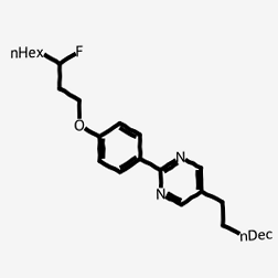 CCCCCCCCCCCCc1cnc(-c2ccc(OCCC(F)CCCCCC)cc2)nc1